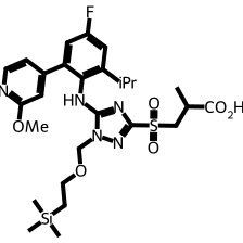 COc1cc(-c2cc(F)cc(C(C)C)c2Nc2nc(S(=O)(=O)CC(C)C(=O)O)nn2COCC[Si](C)(C)C)ccn1